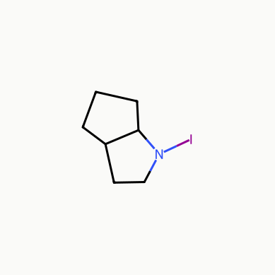 IN1CCC2CCCC21